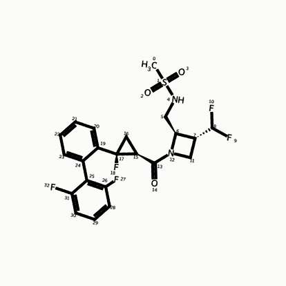 CS(=O)(=O)NC[C@H]1[C@H](C(F)F)CN1C(=O)[C@@H]1C[C@@]1(F)c1ccccc1-c1c(F)cccc1F